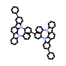 c1ccc(-c2ccc3c(c2)c2ccc4c5ccccc5n(-c5ccccc5)c4c2n3-c2ccc(-c3ccc(-n4c5ccc(-c6ccccc6)cc5c5ccc6c7ccccc7n(-c7ccccc7)c6c54)cc3)cc2)cc1